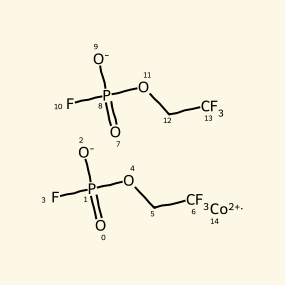 O=P([O-])(F)OCC(F)(F)F.O=P([O-])(F)OCC(F)(F)F.[Co+2]